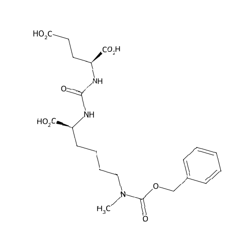 CN(CCCC[C@H](NC(=O)N[C@@H](CCC(=O)O)C(=O)O)C(=O)O)C(=O)OCc1ccccc1